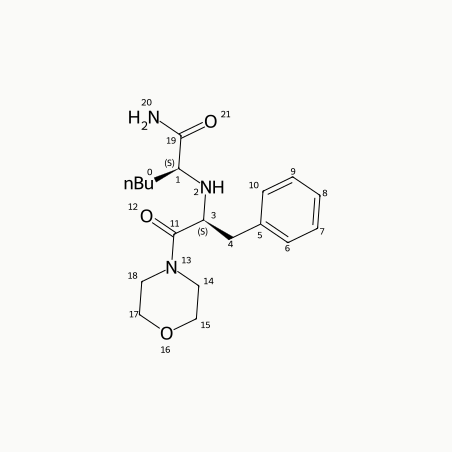 CCCC[C@H](N[C@@H](Cc1ccccc1)C(=O)N1CCOCC1)C(N)=O